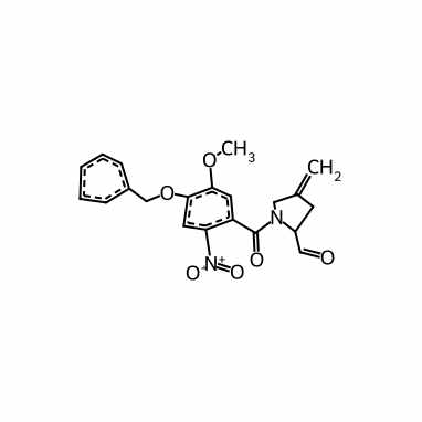 C=C1CC(C=O)N(C(=O)c2cc(OC)c(OCc3ccccc3)cc2[N+](=O)[O-])C1